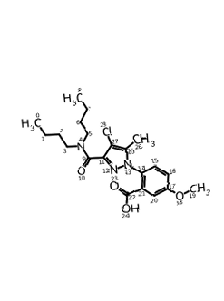 CCCCN(CCCC)C(=O)c1nn(-c2ccc(OC)cc2C(=O)O)c(C)c1Cl